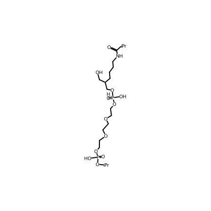 CC(C)OP(=O)(O)OCCOCCOCCO[PH](O)(O)OCC(CO)CCCCNC(=O)C(C)C